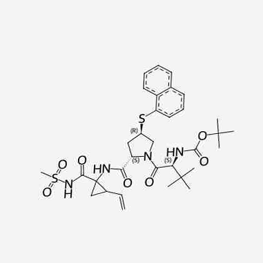 C=CC1CC1(NC(=O)[C@@H]1C[C@@H](Sc2cccc3ccccc23)CN1C(=O)[C@@H](NC(=O)OC(C)(C)C)C(C)(C)C)C(=O)NS(C)(=O)=O